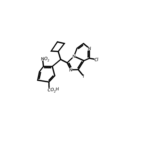 O=C(O)c1ccc([N+](=O)[O-])c(C(c2nc(I)c3c(Cl)nccn23)C2CCC2)c1